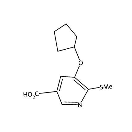 CSc1ncc(C(=O)O)cc1OC1CCCC1